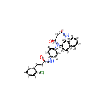 O=C(C=Cc1ccccc1Cl)Nc1ccc(N2C(=O)CC(=O)Nc3c2ccc2ccccc32)cc1